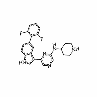 Fc1cccc(F)c1-c1ccc2[nH]cc(-c3cncc(NC4CCNCC4)n3)c2c1